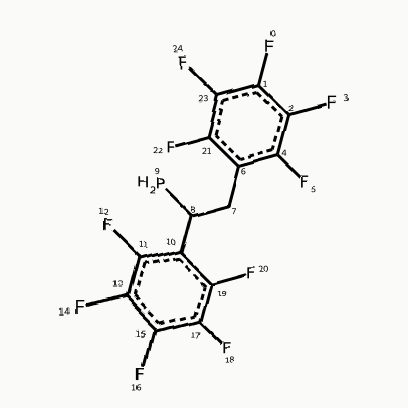 Fc1c(F)c(F)c(CC(P)c2c(F)c(F)c(F)c(F)c2F)c(F)c1F